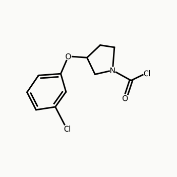 O=C(Cl)N1CCC(Oc2cccc(Cl)c2)C1